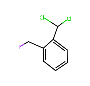 ClC(Cl)c1ccccc1CI